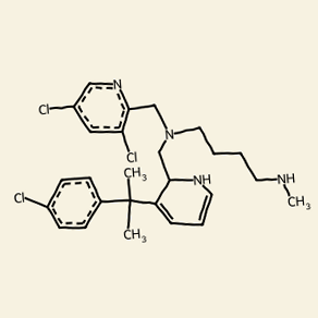 CNCCCCN(Cc1ncc(Cl)cc1Cl)CC1NC=CC=C1C(C)(C)c1ccc(Cl)cc1